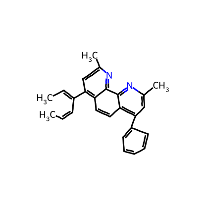 C/C=C\C(=C/C)c1cc(C)nc2c1ccc1c(-c3ccccc3)cc(C)nc12